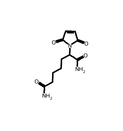 NC(=O)CCCCC(C(N)=O)N1C(=O)C=CC1=O